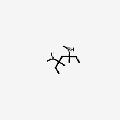 CBC(C)(CC)CC(C)(BC)CC